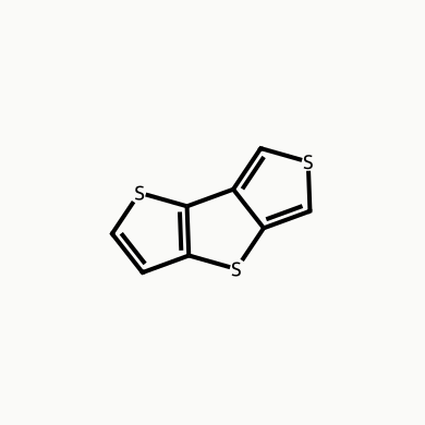 c1cc2sc3cscc3c2s1